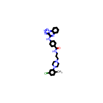 Cc1ccc(Cl)cc1N1CCN(CCCNC(=O)c2ccc(Nc3nc4ccccc4n4nnnc34)cc2)CC1